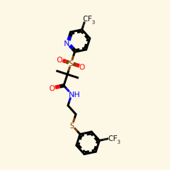 CC(C)(C(=O)NCCSc1cccc(C(F)(F)F)c1)S(=O)(=O)c1ccc(C(F)(F)F)cn1